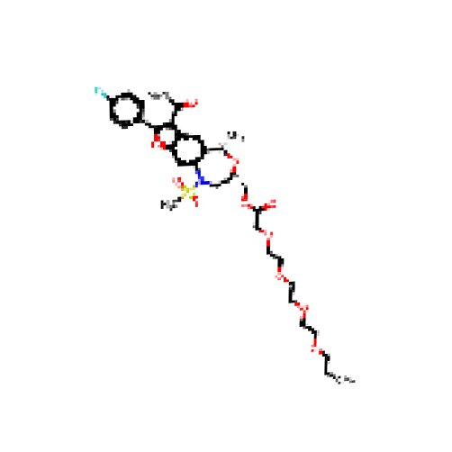 CNC(=O)c1c(-c2ccc(F)cc2)oc2cc3c(cc12)[C@H](C)O[C@H](COC(=O)COCCOCCOCCOCCOC)CN3S(C)(=O)=O